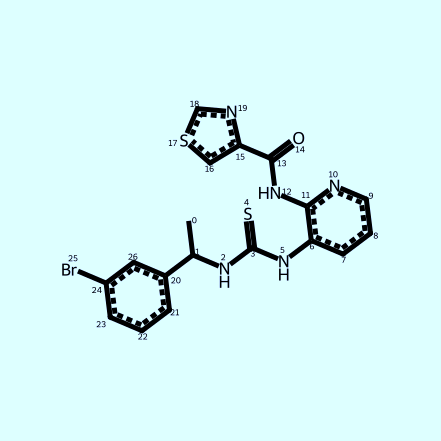 CC(NC(=S)Nc1cccnc1NC(=O)c1cscn1)c1cccc(Br)c1